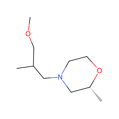 COCC(C)CN1CCO[C@H](C)C1